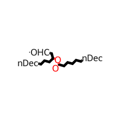 CCCCCCCCCCCCCCCC(=O)OC(C[C]=O)CCCCCCCCCCCCC